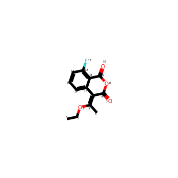 CCO/C(C)=C1/C(=O)OC(=O)c2c(F)cccc21